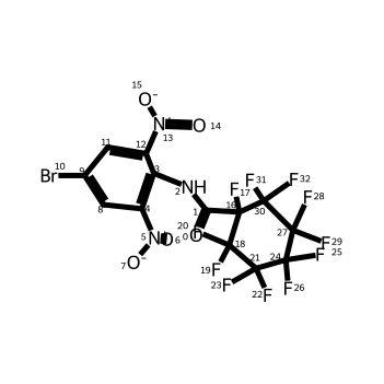 O=C(Nc1c([N+](=O)[O-])cc(Br)cc1[N+](=O)[O-])C1(F)C(F)(F)C(F)(F)C(F)(F)C(F)(F)C1(F)F